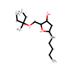 CCCCBC1CC(O)C(COC(C)(CC)CC)O1